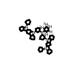 [2H]c1c([2H])c([2H])c(B(c2cccc(-n3c4ccccc4c4cc5c6ccccc6n(-c6ccccc6)c5cc43)c2)c2cccc(-n3c4ccccc4c4cc5c6ccccc6n(-c6ccccc6)c5cc43)c2)c([2H])c1[2H]